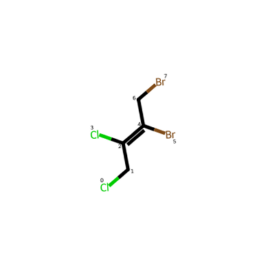 ClCC(Cl)=C(Br)CBr